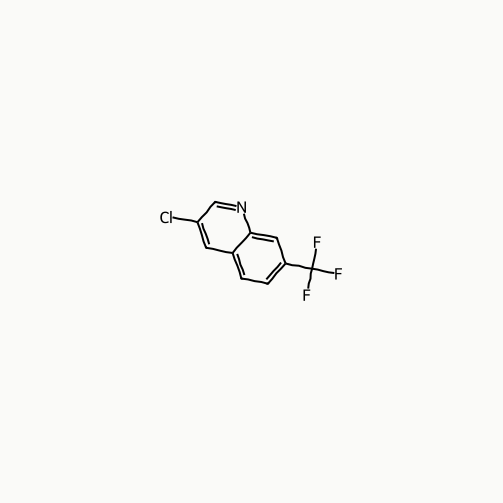 FC(F)(F)c1ccc2cc(Cl)cnc2c1